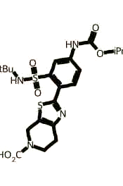 CC(C)OC(=O)Nc1ccc(-c2nc3c(s2)CN(C(=O)O)CC3)c(S(=O)(=O)NC(C)(C)C)c1